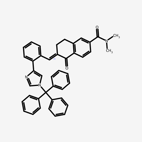 CN(C)C(=O)c1ccc2c(c1)CC/C(=C\c1ccccc1-c1cn(C(c3ccccc3)(c3ccccc3)c3ccccc3)cn1)C2=O